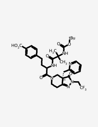 CC(C)(C)OC(=O)NC(C)(C)C(=O)NC(CCc1ccc(C(=O)O)cc1)C(=O)N1CCC2=NN(CC(F)(F)F)C(=O)[C@]2(Cc2ccccn2)C1